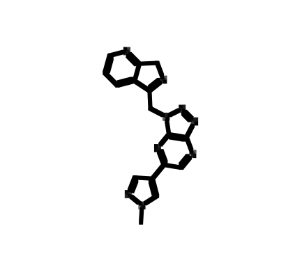 Cn1cc(-c2cnc3nnn(CC4=NCc5ncccc54)c3n2)cn1